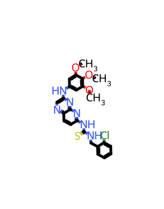 COc1cc(Nc2cnc3ccc(NC(=S)NCc4ccccc4Cl)nc3n2)cc(OC)c1OC